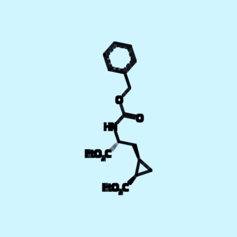 CCOC(=O)[C@@H](C[C@H]1C[C@H]1C(=O)OCC)NC(=O)OCc1ccccc1